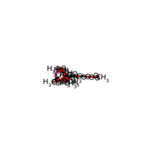 COC(=O)CCOCCOCCOCCOCCNC(=O)CSC(C)(C)CCC(=O)N(C)[C@@H](C)C(=O)O[C@H]1CC(=O)N(C)c2cc(cc(OC)c2Cl)C/C(C)=C/C=C/[C@@H](OC)[C@@]2(O)C[C@H](OC(=O)N2)[C@@H](C)[C@@H]2O[C@@]12C